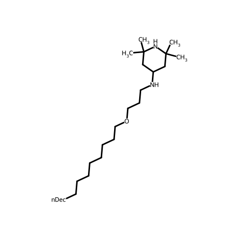 CCCCCCCCCCCCCCCCCCOCCCNC1CC(C)(C)NC(C)(C)C1